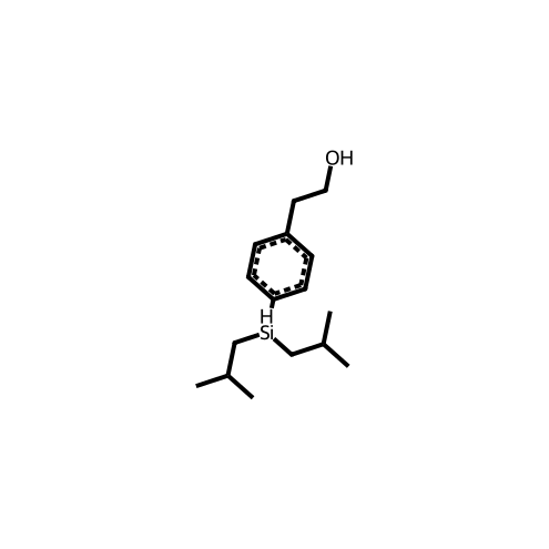 CC(C)C[SiH](CC(C)C)c1ccc(CCO)cc1